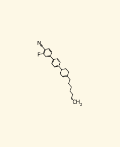 C=CCCCCCC1=CCC(c2ccc(-c3ccc(C#N)c(F)c3)cc2)CC1